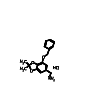 CC1(C)Oc2cc(CN)cc(OCc3ccccc3)c2O1.Cl